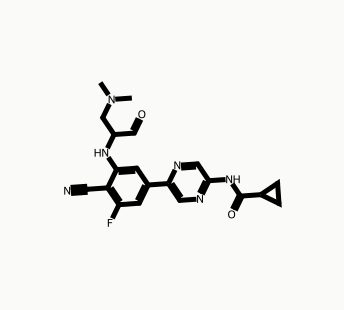 CN(C)CC(C=O)Nc1cc(-c2cnc(NC(=O)C3CC3)cn2)cc(F)c1C#N